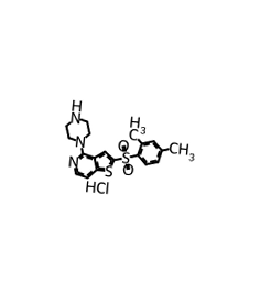 Cc1ccc(S(=O)(=O)c2cc3c(N4CCNCC4)nccc3s2)c(C)c1.Cl